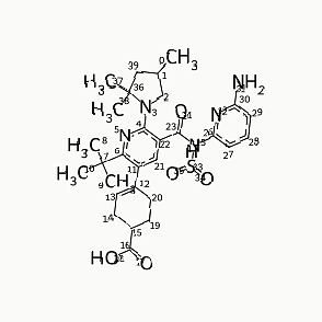 CC1CN(c2nc(C(C)(C)C)c(C3=CCC(C(=O)O)CC3)cc2C(=O)N(c2cccc(N)n2)[SH](=O)=O)C(C)(C)C1